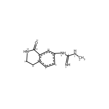 CNC(=N)Nc1ccc2c(c1)C(=O)NCC2